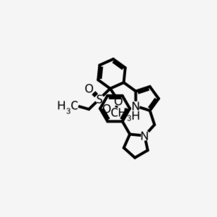 CCS(=O)(=O)C1(OC)C=CC=CC1c1ccc(CN2CCCC2c2ccccc2)[nH]1